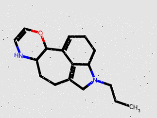 CCCN1CC2=C3C(=CCCC31)C1OC=CNC1CC2